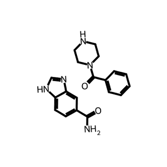 NC(=O)c1ccc2[nH]cnc2c1.O=C(c1ccccc1)N1CCNCC1